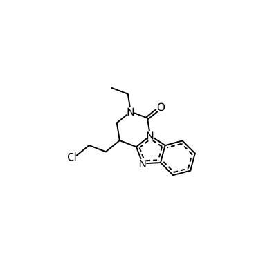 CCN1CC(CCCl)c2nc3ccccc3n2C1=O